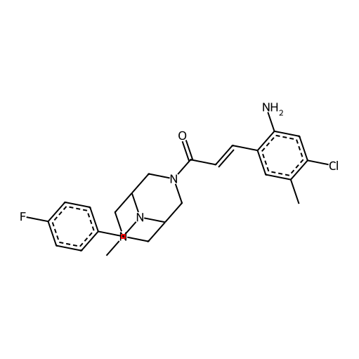 Cc1cc(C=CC(=O)N2CC3CN(C)CC(C2)N3Cc2ccc(F)cc2)c(N)cc1Cl